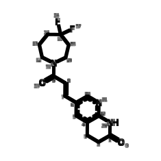 O=C1CCc2cc(/C=C/C(=O)N3CCCC(F)(F)CC3)cnc2N1